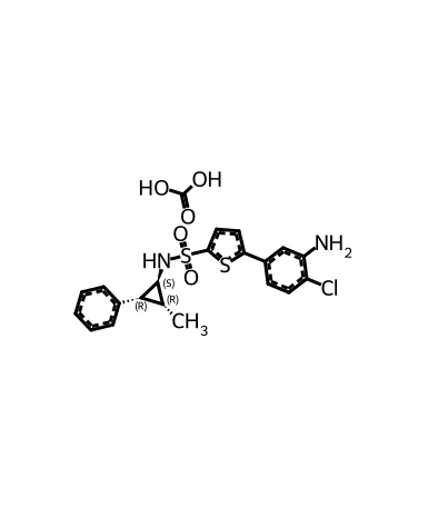 C[C@H]1[C@H](NS(=O)(=O)c2ccc(-c3ccc(Cl)c(N)c3)s2)[C@H]1c1ccccc1.O=C(O)O